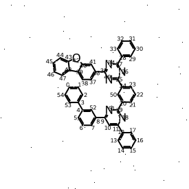 c1ccc(-c2cccc(-c3cc(-c4ccccc4)nc(-c4cccc(-c5nc(-c6ccccc6)nc(-c6ccc7c(c6)oc6ccccc67)n5)c4)n3)c2)cc1